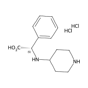 Cl.Cl.O=C(O)[C@@H](NC1CCNCC1)c1ccccc1